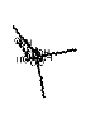 CCCCCCCCCCCCCCCCC(O)(CCCCCCCCCCCCCCCC)C(CCCCCCCCCCCCCCCC)(NC(=O)C(CO)NC(=O)C(N)CSCC(O)CO)C(=O)O